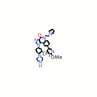 COc1ccc(-c2ccc3c(c2)c2c(ncn2-c2ccc(N4CCNCC4)c(C(F)(F)F)c2)c(=O)n3CCn2cccc2)cn1